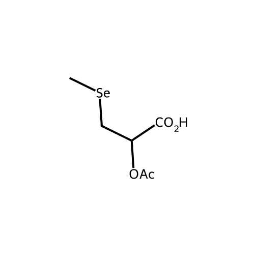 C[Se]CC(OC(C)=O)C(=O)O